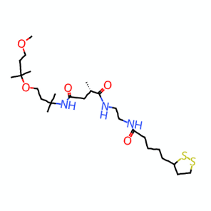 COCCC(C)(C)OCCC(C)(C)NC(=O)C[C@H](C)C(=O)NCCNC(=O)CCCCC1CCSS1